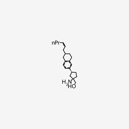 CCC/C=C\CC1CCc2cc([C@H]3CC[C@](N)(CO)C3)ccc2C1